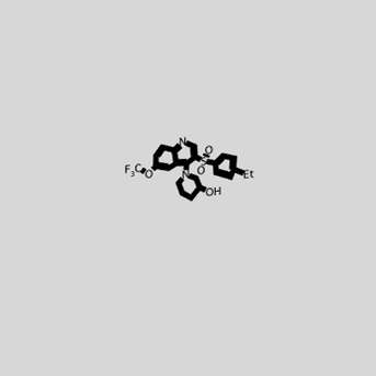 CCc1ccc(S(=O)(=O)c2cnc3ccc(OC(F)(F)F)cc3c2N2CCCC(O)C2)cc1